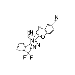 C[C@H](Oc1ccc(C#N)cc1F)c1nnc(-c2ccccc2C(F)(F)F)n1C